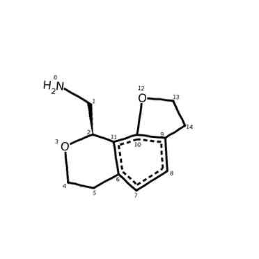 NC[C@@H]1OCCc2ccc3c(c21)OCC3